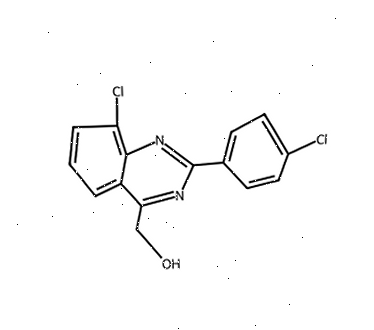 OCc1nc(-c2ccc(Cl)cc2)nc2c(Cl)cccc12